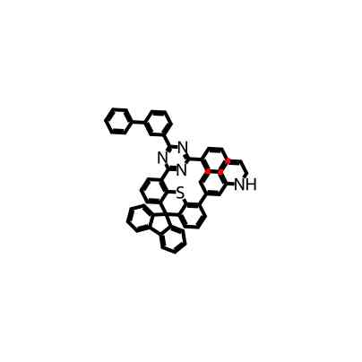 C1=Cc2ccc(-c3cccc4c3Sc3c(-c5nc(-c6ccccc6)nc(-c6cccc(-c7ccccc7)c6)n5)cccc3C43c4ccccc4-c4ccccc43)cc2NC1